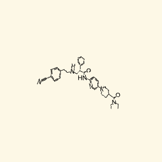 CCN(CC)C(=O)C1CCN(c2ccc(NC(=O)C(CNCCc3ccc(C#N)cc3)c3ccccc3)nc2)CC1